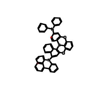 c1ccc(-c2ccccc2N(c2ccccc2)c2cc3c(c4ccccc24)B2c4c(cccc4O3)Oc3cc(N(c4ccccc4)c4ccccc4)c4ccccc4c32)cc1